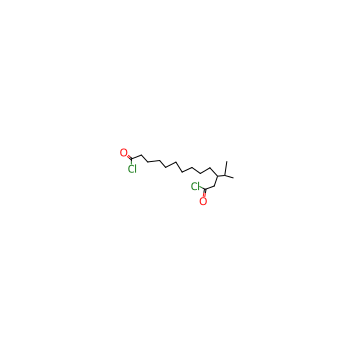 CC(C)C(CCCCCCCCCC(=O)Cl)CC(=O)Cl